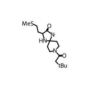 CSCCC1NC2(CCN(C(=O)CC(C)(C)C)CC2)[N]C1=O